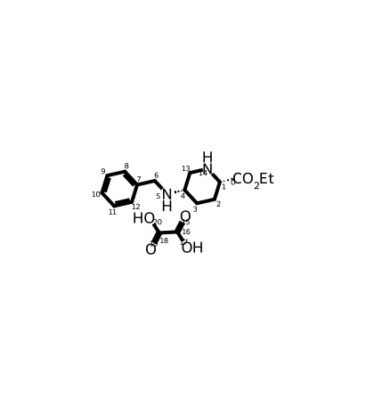 CCOC(=O)[C@@H]1CC[C@H](NCc2ccccc2)CN1.O=C(O)C(=O)O